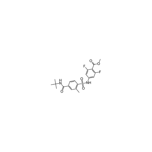 COC(=O)c1c(F)cc(NS(=O)(=O)c2ccc(C(=O)NC(C)(C)C)cc2C)cc1F